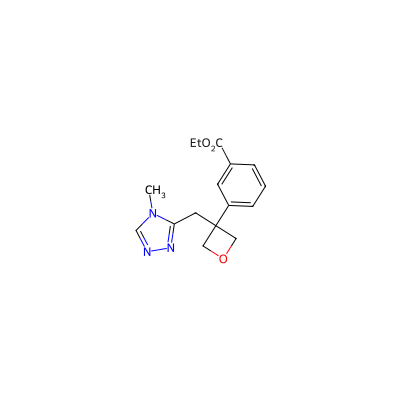 CCOC(=O)c1cccc(C2(Cc3nncn3C)COC2)c1